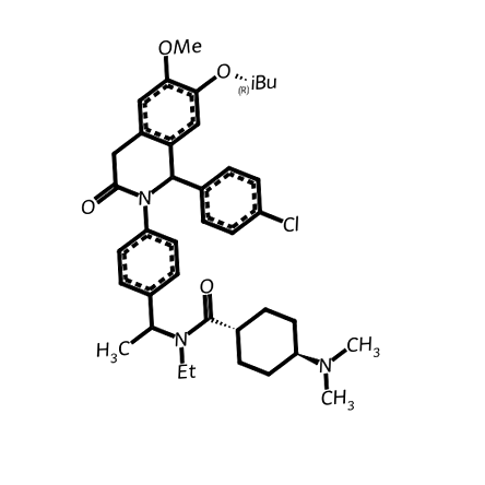 CC[C@@H](C)Oc1cc2c(cc1OC)CC(=O)N(c1ccc(C(C)N(CC)C(=O)[C@H]3CC[C@H](N(C)C)CC3)cc1)C2c1ccc(Cl)cc1